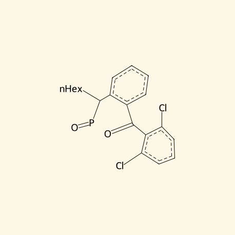 CCCCCCC(P=O)c1ccccc1C(=O)c1c(Cl)cccc1Cl